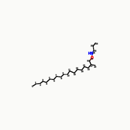 CCCCCCCCCCCCCCCCCC(C)CONCCC